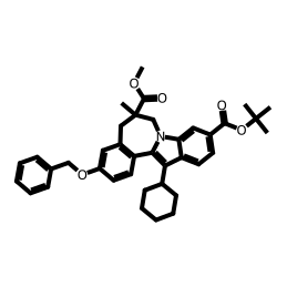 COC(=O)C1(C)Cc2cc(OCc3ccccc3)ccc2-c2c(C3CCCCC3)c3ccc(C(=O)OC(C)(C)C)cc3n2C1